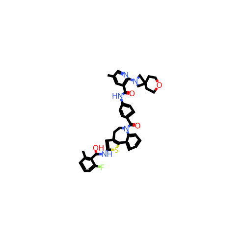 Cc1cnc(N2CC3(CCOCC3)C2)c(C(=O)Nc2ccc(C(=O)N3CCc4cc(NC(O)c5c(C)cccc5F)sc4-c4ccccc43)cc2)c1